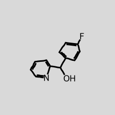 OC(c1ccc(F)cc1)c1ccccn1